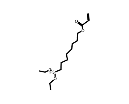 C=CC(=O)OCCCCCCCC[SiH](OCC)OCC